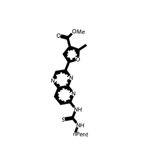 CCCCCNC(=S)Nc1ccc2ncc(-c3cc(C(=O)OC)c(C)o3)nc2n1